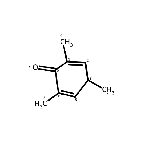 CC1=CC(C)C=C(C)C1=O